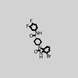 O=c1[nH]c2c(Br)cccc2n1[C@H]1CC[C@@H](C(=O)Nc2ccc(F)c(F)c2)CC1